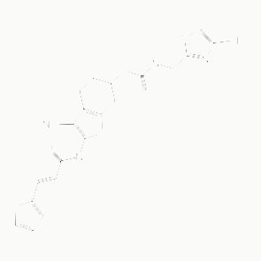 Cc1csc(CNC(=O)OC2CCc3c(sc(NC(=O)C=Cc4ccco4)c3C#N)C2)n1